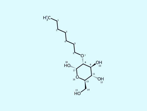 CCCCCCCO[C@@H]1[C@@H](O)[C@H](O)[C@@H](CO)O[C@@H]1O